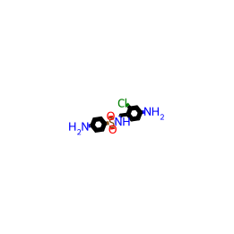 Nc1ccc(S(=O)(=O)NCc2ccc(N)cc2Cl)cc1